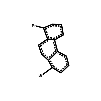 Brc1cccc2c1ccc1c(Br)cccc12